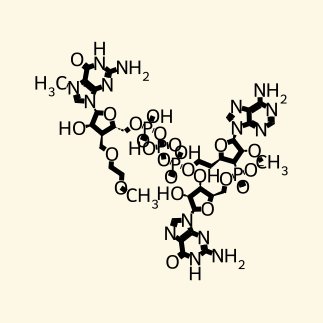 COCCOC[C@H]1[C@@H](O)[C@H](n2c[n+](C)c3c(=O)[nH]c(N)nc32)O[C@@H]1COP(=O)(O)OP(=O)(O)OP(=O)(O)OCC[C@H]1O[C@@H](n2cnc3c(N)ncnc32)[C@H](OC)[C@@H]1P(=O)([O-])OC[C@H]1O[C@@H](n2cnc3c(=O)[nH]c(N)nc32)[C@H](O)[C@@H]1O